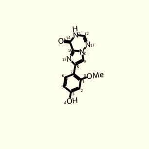 COc1cc(O)ccc1-c1cn2nc[nH]c(=O)c2n1